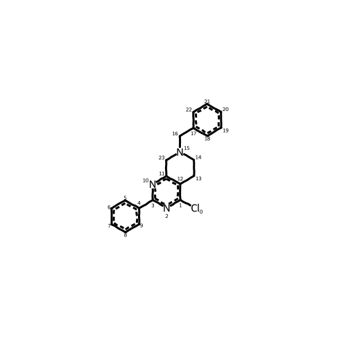 Clc1nc(-c2ccccc2)nc2c1CCN(Cc1ccccc1)C2